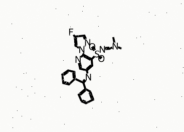 CN(C)C=NS(=O)(=O)c1cc(N=C(c2ccccc2)c2ccccc2)cnc1-n1cc(F)cn1